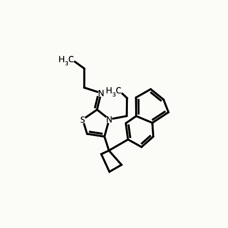 CCCN=c1scc(C2(c3ccc4ccccc4c3)CCC2)n1CCC